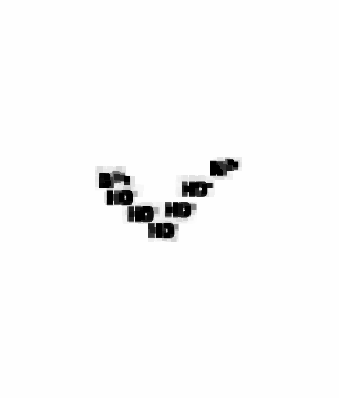 [Bi+3].[Ni+2].[OH-].[OH-].[OH-].[OH-].[OH-]